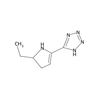 CCC1CC=C(c2nnn[nH]2)N1